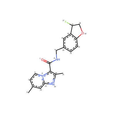 Cc1ccn2c(C(=O)NCc3ccc4c(c3)C(F)CO4)c(C)nc2c1